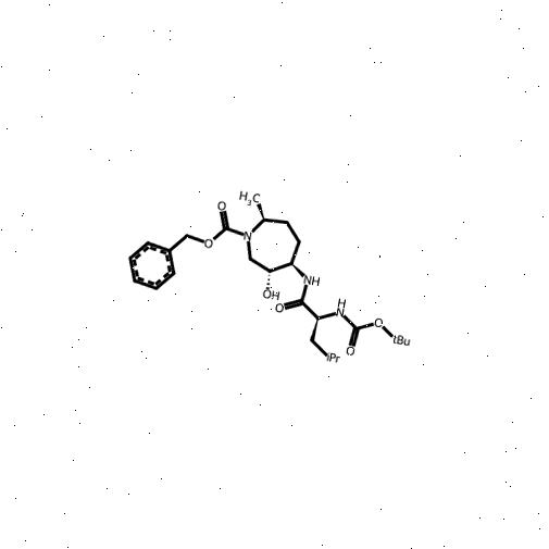 CC(C)C[C@H](NC(=O)OC(C)(C)C)C(=O)N[C@@H]1CC[C@H](C)N(C(=O)OCc2ccccc2)C[C@H]1O